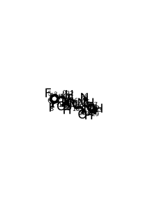 C[C@@H](c1cc(F)cc(F)c1)N1C(=O)[C@@H]2C[C@H]1CN2C[C@H](N)C(=O)N1[C@H](C#N)C[C@@H]2C[C@@H]21